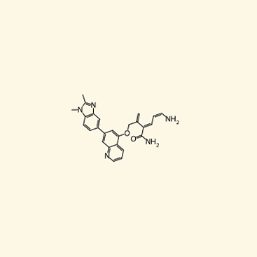 C=C(COc1cc(-c2ccc3c(c2)nc(C)n3C)cc2ncccc12)/C(=C\C=C/N)C(N)=O